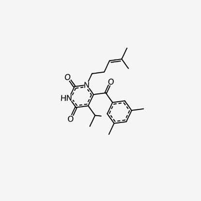 CC(C)=CCCn1c(C(=O)c2cc(C)cc(C)c2)c(C(C)C)c(=O)[nH]c1=O